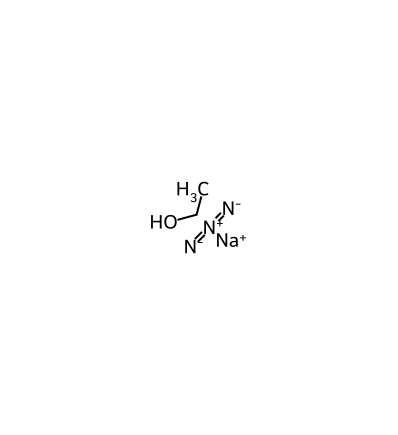 CCO.[N-]=[N+]=[N-].[Na+]